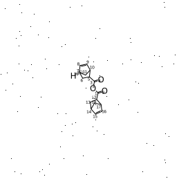 O=C(OC(=O)C1C[C@H]2C=CC1C2)C1CC2C=CC1C2